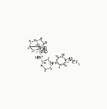 O=C(N[C@H]1CCCN(c2ccc(OC(F)(F)F)cc2)C1)C12CC3CC(C1)C(O)C(C3)C2